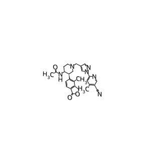 CC(=O)NC1CCN(Cc2cnn(-c3cc(C)c(C#N)cn3)c2)C[C@H]1c1ccc2c(c1C)COC2=O